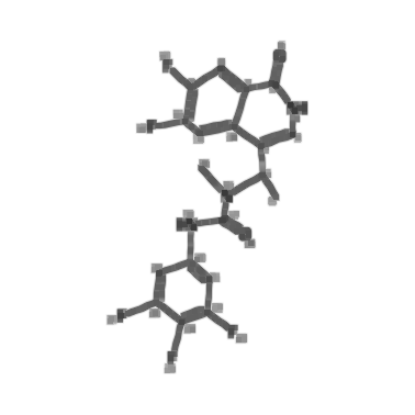 CC(c1c[nH]c(=O)c2cc(F)c(F)cc12)N(C)C(=O)Nc1cc(F)c(F)c(F)c1